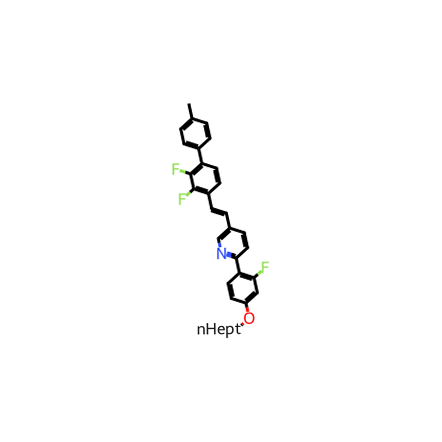 CCCCCCCOc1ccc(-c2ccc(/C=C/c3ccc(-c4ccc(C)cc4)c(F)c3F)cn2)c(F)c1